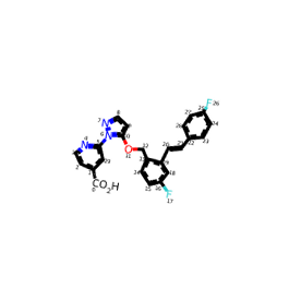 O=C(O)c1ccnc(-n2nccc2OCc2ccc(F)cc2C=Cc2ccc(F)cc2)c1